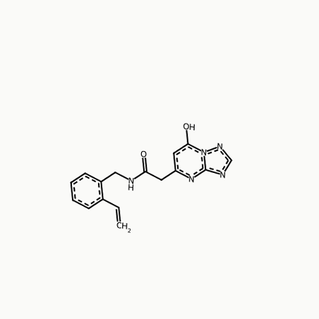 C=Cc1ccccc1CNC(=O)Cc1cc(O)n2ncnc2n1